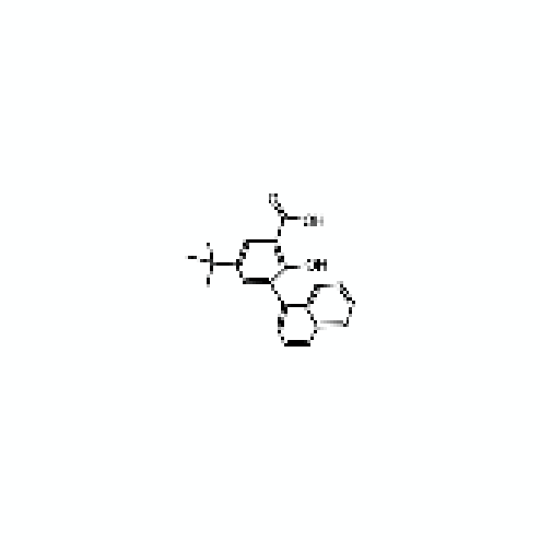 CC(C)(C)c1cc(C(=O)O)c(O)c(-c2cccc3ccccc23)c1